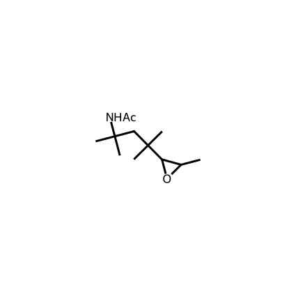 CC(=O)NC(C)(C)CC(C)(C)C1OC1C